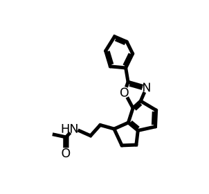 CC(=O)NCCC1CCc2ccc3nc(-c4ccccc4)oc3c21